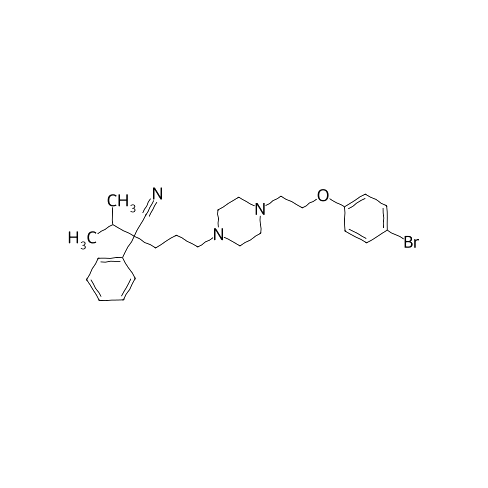 CC(C)C(C#N)(CCCN1CCN(CCOc2ccc(Br)cc2)CC1)c1ccccc1